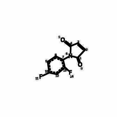 O=C1C=CC(=O)N1c1ccc(F)cc1F